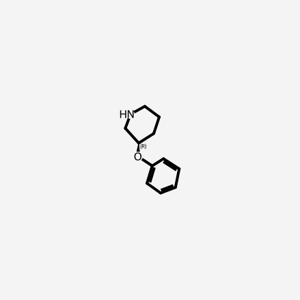 c1ccc(O[C@@H]2CCCNC2)cc1